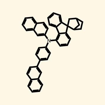 c1ccc2c(c1)-c1c(N(c3ccc(-c4ccc5ccccc5c4)cc3)c3ccc4ccccc4c3)cccc1C21CC2CCC1C2